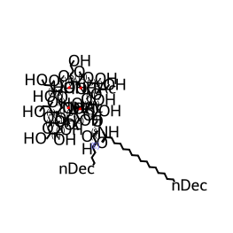 CCCCCCCCCCCCC/C=C/[C@@H](O)[C@H](CO[C@@H]1OC(CO)[C@@H](O[C@@H]2OC(CO)[C@H](O)[C@H](O[C@@H]3OC(CO)[C@@H](O[C@@H]4OC(CO)[C@H](O)[C@H](O[C@@H]5OC(CO)[C@@H](O[C@@H]6OC(CO)[C@H](O)[C@H](O)C6O)[C@H](O[C@H]6OC(C)[C@@H](O)C(O)[C@@H]6O)C5NC(C)=O)C4O)[C@H](O)C3NC(C)=O)C2O)[C@H](O)C1O)NC(=O)CCCCCCCCCCCCCCCCCCCCCCCCC